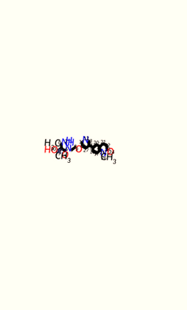 CC(=N)/C(C(=O)NCCOc1cncc(-c2ccc3c(c2)CCC(=O)N3C)c1)=C(/C)O